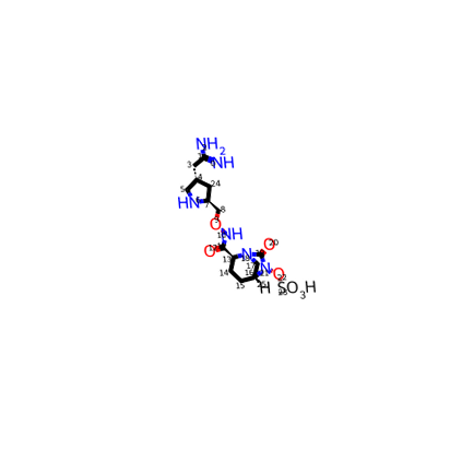 N=C(N)C[C@H]1CN[C@H](CONC(=O)[C@@H]2CC[C@@H]3CN2C(=O)N3OS(=O)(=O)O)C1